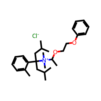 Cc1ccccc1C(CC(C)C)(CC(C)C)[N+](C)(C)C(C)OCCOc1ccccc1.[Cl-]